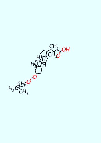 C[C@H](CCC(=O)O)[C@H]1CC[C@H]2[C@@H]3CC=C4C[C@@H](OCOCC[Si](C)(C)C)CC[C@]4(C)[C@H]3CC[C@]12C